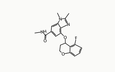 CNC(=O)c1cc(OC2CCOc3cccc(F)c32)c2nc(C)n(C)c2c1